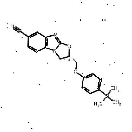 C[Si](C)(C)c1ccc(OC[C@@H]2Cn3c(nc4cc(C#N)ccc43)O2)cn1